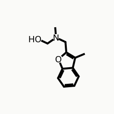 Cc1c(CN(C)CO)oc2ccccc12